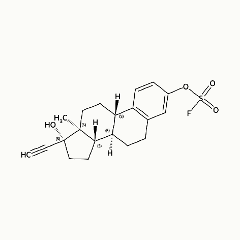 C#C[C@]1(O)CC[C@H]2[C@@H]3CCc4cc(OS(=O)(=O)F)ccc4[C@H]3CC[C@@]21C